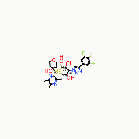 Cc1nc(C)c([C@@H]([SH]2C[C@H](O)[C@H](n3cc(-c4cc(F)c(F)c(F)c4)nn3)[C@@H](O)[C@H]2CO)C2(O)CCOCC2)nc1C